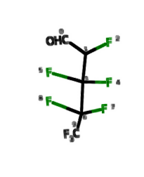 O=CC(F)C(F)(F)C(F)(F)C(F)(F)F